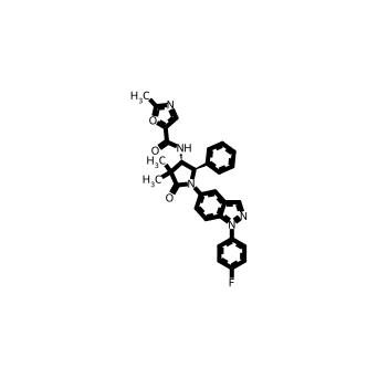 Cc1ncc(C(=O)N[C@@H]2[C@@H](c3ccccc3)N(c3ccc4c(cnn4-c4ccc(F)cc4)c3)C(=O)C2(C)C)o1